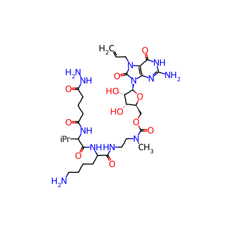 C=CCn1c(=O)n([C@H]2O[C@@H](COC(=O)N(C)CCNC(=O)C(CCCCN)NC(=O)C(NC(=O)CCCC(=O)NN)C(C)C)[C@H](O)[C@@H]2O)c2nc(N)[nH]c(=O)c21